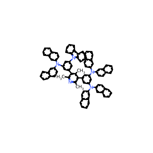 Cc1nc(C)c(-c2cc(N(c3ccc4ccccc4c3)c3ccc4ccccc4c3)cc(-n3c4ccccc4c4ccccc43)c2)c(C)c1-c1cc(N(c2ccc3ccccc3c2)c2ccc3ccccc3c2)cc(N(c2ccc3ccccc3c2)c2ccc3ccccc3c2)c1